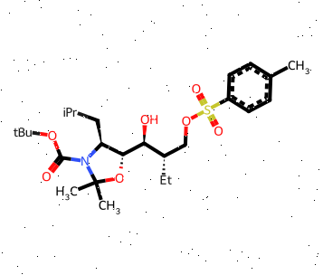 CC[C@@H](COS(=O)(=O)c1ccc(C)cc1)[C@H](O)[C@@H]1OC(C)(C)N(C(=O)OC(C)(C)C)[C@H]1CC(C)C